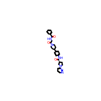 O=C(NCC(=O)N1CCC(c2ccc(NC(=O)[C@H]3CCN(c4cccnn4)C3)cc2)CC1)c1ccccc1